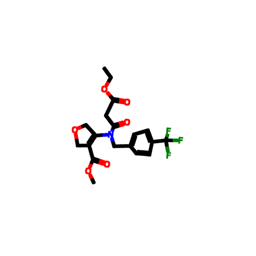 CCOC(=O)CC(=O)N(Cc1ccc(C(F)(F)F)cc1)C1=C(C(=O)OC)COC1